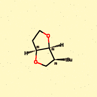 CC(C)(C)[C@H]1CO[C@H]2CCO[C@H]21